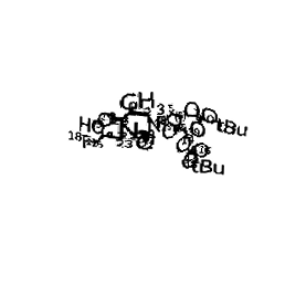 Cc1cn([C@H]2C[C@H](OC(=O)OC(C)(C)C)[C@@H](COC(=O)OC(C)(C)C)O2)c(=O)n(CC(O)C[18F])c1=O